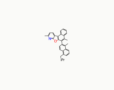 Cc1ccc2c(n1)oc1c(-c3ccc4c(CC(C)C)cccc4c3C)c(C)c3ccccc3c12